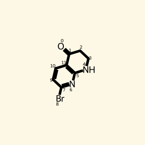 O=C1CCNc2nc(Br)ccc21